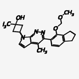 COCOc1c(-c2nnc3c(ccn3C3CC(C)(O)C3)c2C)ccc2c1CCC2